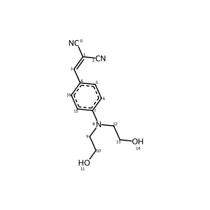 N#CC(C#N)=Cc1ccc(N(CCO)CCO)cc1